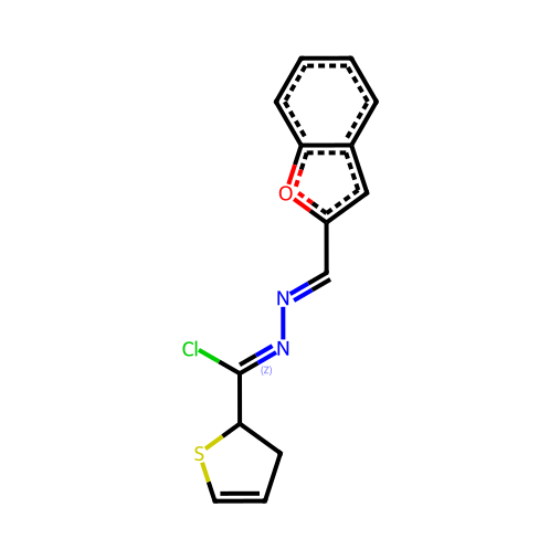 Cl/C(=N\N=Cc1cc2ccccc2o1)C1CC=CS1